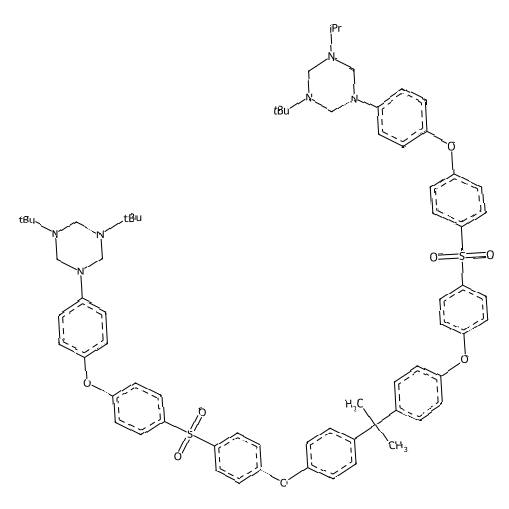 CC(C)N1CN(c2ccc(Oc3ccc(S(=O)(=O)c4ccc(Oc5ccc(C(C)(C)c6ccc(Oc7ccc(S(=O)(=O)c8ccc(Oc9ccc(N%10CN(C(C)(C)C)CN(C(C)(C)C)C%10)cc9)cc8)cc7)cc6)cc5)cc4)cc3)cc2)CN(C(C)(C)C)C1